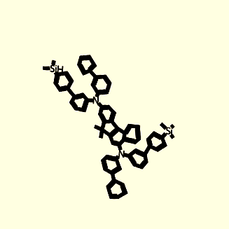 C[SiH](C)c1ccc(-c2cccc(N(c3cccc(-c4ccccc4)c3)c3ccc4c(c3)C(C)(C)c3cc(N(c5cccc(-c6ccccc6)c5)c5cccc(-c6ccc([Si](C)(C)C)cc6)c5)c5ccccc5c3-4)c2)cc1